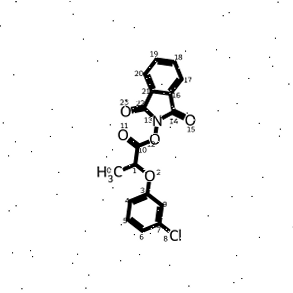 CC(Oc1cccc(Cl)c1)C(=O)ON1C(=O)c2ccccc2C1=O